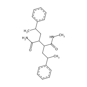 CNC(=O)C(CC(C)c1ccccc1)C(CC(C)c1ccccc1)C(N)=O